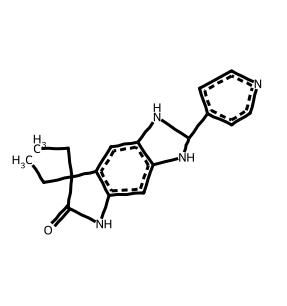 CCC1(CC)C(=O)Nc2cc3c(cc21)NC(c1ccncc1)N3